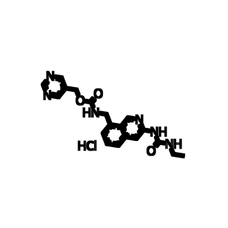 CCNC(=O)Nc1cc2cccc(CNC(=O)OCc3cncnc3)c2cn1.Cl